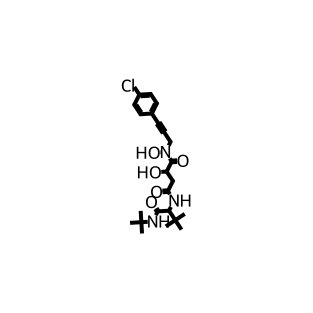 CC(C)(C)NC(=O)C(NC(=O)CC(O)C(=O)N(O)CC#Cc1ccc(Cl)cc1)C(C)(C)C